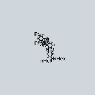 CCCCCCN(CCCCCC)c1ccc(N=c2c(=O)ccc(=O)c2=NS(=O)(=O)c2c(C(C)C)cc(C(C)C)cc2C(C)C)cc1